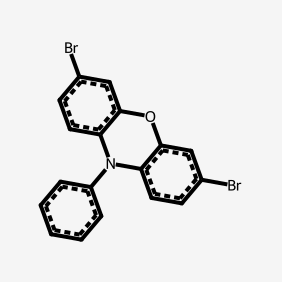 Brc1ccc2c(c1)Oc1cc(Br)ccc1N2c1ccccc1